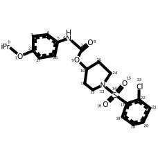 CC(C)Oc1ccc(NC(=O)OC2CCN(S(=O)(=O)c3ccccc3Cl)CC2)cc1